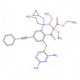 CCC[N+]1(CC2CC2)c2cc(C#Cc3ccccc3)cc(Cc3cnc(N)nc3N)c2C(=O)C(OC)(C(=O)OCC)C1OC